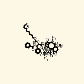 CC(=O)O[C@@]12COC1C[C@H](O)[C@@]1(C)C(=O)[C@H](C)C3=C(C)[C@@H](OC(=O)[C@H](OC(=O)OCCCCCC4CCSS4)[C@@H](NC(=O)c4ccccc4)c4ccccc4)C[C@@](O)([C@@H](O[Si](C)(C)C(C)(C)C)[C@@H]12)C3(C)C